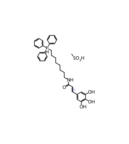 CS(=O)(=O)O.O=C(/C=C/c1cc(O)c(O)c(O)c1)NCCCCCCCC[PH](c1ccccc1)(c1ccccc1)c1ccccc1